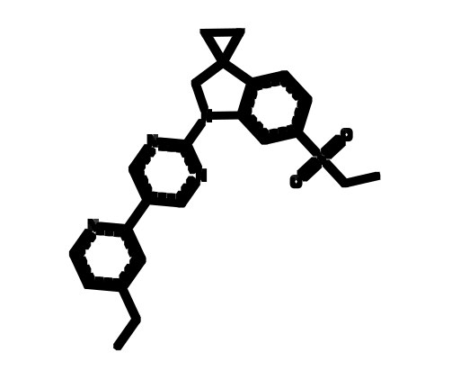 CCc1ccnc(-c2cnc(N3CC4(CC4)c4ccc(S(=O)(=O)CC)cc43)nc2)c1